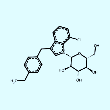 CCc1ccc(Cc2cn([C@@H]3O[C@H](CO)[C@@H](O)[C@H](O)[C@H]3O)c3c(Cl)cccc23)cc1